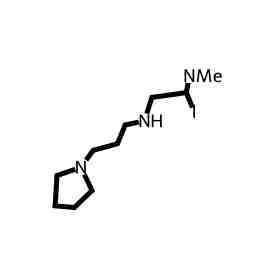 CNC(I)CNCCCN1CCCC1